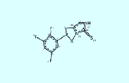 Fc1cc(F)c(F)c(C2Cc3c[nH]c(=S)n3C2)c1